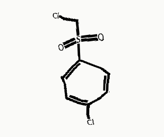 O=S(=O)(CCl)c1c[c]c(Cl)cc1